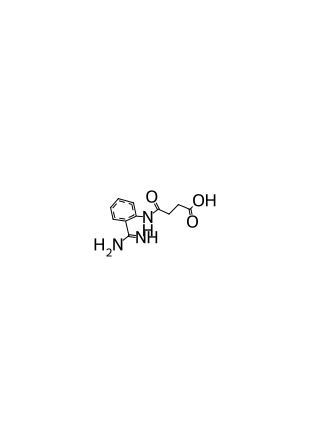 N=C(N)c1ccccc1NC(=O)CCC(=O)O